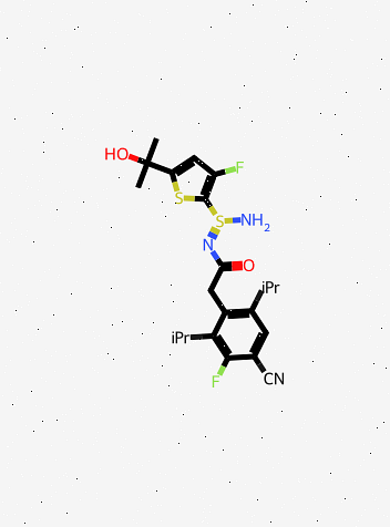 CC(C)c1cc(C#N)c(F)c(C(C)C)c1CC(=O)/N=S(\N)c1sc(C(C)(C)O)cc1F